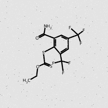 CCOC(=S)Sc1c(C(N)=O)cc(C(F)(F)F)cc1C(F)(F)F